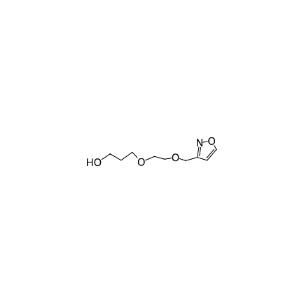 OCCCOCCOCc1ccon1